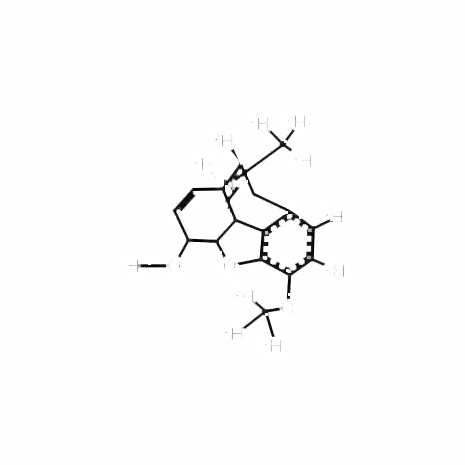 [2H]OC1C=C[C@]2([2H])[C@@]34CCN(C([2H])([2H])[2H])[C@]2([2H])Cc2c([2H])c([2H])c(OC([2H])([2H])[2H])c(c23)OC14